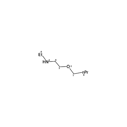 CCCCOCCNCC